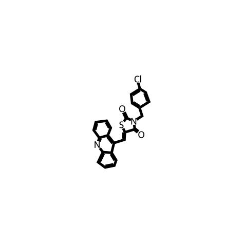 O=C1SC(=Cc2c3ccccc3nc3ccccc23)C(=O)N1Cc1ccc(Cl)cc1